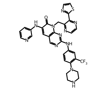 O=c1c(Nc2cccnc2)cc2cnc(Nc3ccc(N4CCNCC4)c(C(F)(F)F)c3)nc2n1Cc1nccnc1-c1nccs1